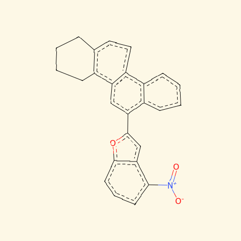 O=[N+]([O-])c1cccc2oc(-c3cc4c5c(ccc4c4ccccc34)CCCC5)cc12